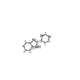 [c]1nccc(-c2nc3ccccc3[nH]2)n1